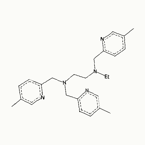 CCN(CCN(Cc1ccc(C)cn1)Cc1ccc(C)cn1)Cc1ccc(C)cn1